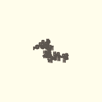 CC(C)C[C@H](NC(=O)[C@H](CC(C)C)NC(=O)C(C)(C)NC(=O)[C@H](CC(C)C)NC(=O)[C@H](Cc1nccs1)N(C=O)[C@@H]1CCCN1C(=O)c1ccc(F)cc1)C(=O)NC(C)(C)C(=O)NC(C)(C)C(=O)NCCC(=O)NC1(CN(C)C)CCC1